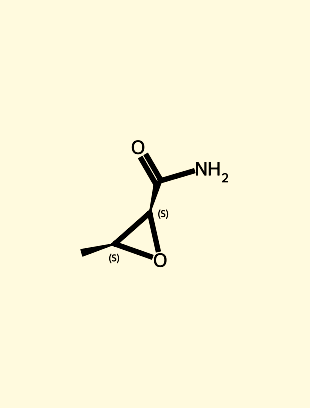 C[C@@H]1O[C@@H]1C(N)=O